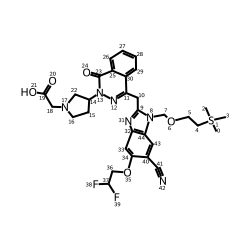 CS(C)(C)CCOCn1c(Cc2nn(C3CCN(CC(=O)O)C3)c(=O)c3ccccc23)nc2cc(OCC(F)F)c(C#N)cc21